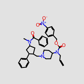 C=CCN(C(=O)OCc1ccc([N+](=O)[O-])cc1)C1CCN(CC2CC(N(C)C(=O)c3ccccc3)CC2c2ccccc2)CC1